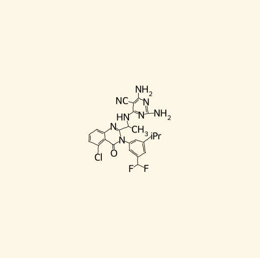 CC(C)c1cc(C(F)F)cc(-n2c(C(C)Nc3nc(N)nc(N)c3C#N)nc3cccc(Cl)c3c2=O)c1